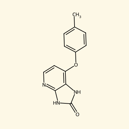 Cc1ccc(Oc2ccnc3[nH]c(=O)[nH]c23)cc1